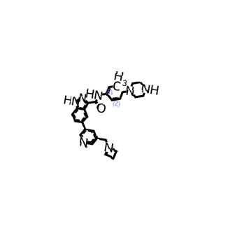 C/C=C(\C=C/CN1CCNCC1)NC(=O)c1n[nH]c2ccc(-c3cncc(CN4CCC4)c3)cc12